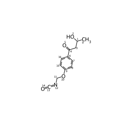 CC(O)CC(=O)c1ccc(OCN=C=O)cc1